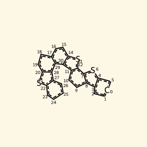 c1ccc2c(c1)sc1c2ccc2c1sc1ccc3ccc4sc5ccccc5c4c3c12